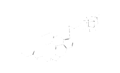 CC(C)(C)OC(=O)NCCN1CC(Oc2ccc(C3CC3B3O[C@@H]4C[C@@H]5C[C@@H](C5(C)C)[C@]4(C)O3)c(OC(=O)OC(C)(C)C)c2C(=O)OC(C)(C)C)C1